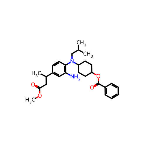 COC(=O)CC(C)c1ccc(N(CC(C)C)C2CCC(OC(=O)c3ccccc3)CC2)c(N)c1